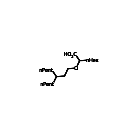 CCCCCCC(OCCC(CCCCC)CCCCC)C(=O)O